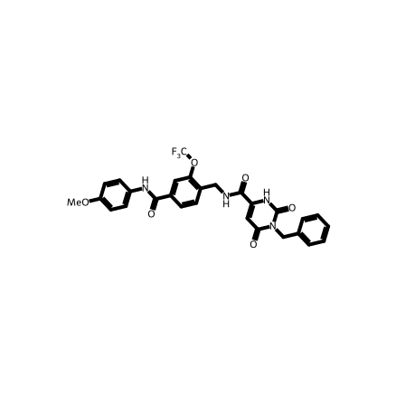 COc1ccc(NC(=O)c2ccc(CNC(=O)c3cc(=O)n(Cc4ccccc4)c(=O)[nH]3)c(OC(F)(F)F)c2)cc1